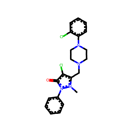 Cn1c(CN2CCN(c3ccccc3Cl)CC2)c(Cl)c(=O)n1-c1ccccc1